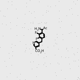 CC(=O)C(N)c1ccc(Cc2cncc(C(=O)O)c2)c(F)c1F